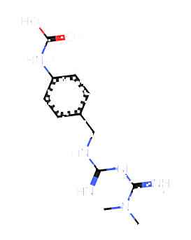 CN(C)C(=N)NC(=N)NCc1ccc(NC(=O)O)cc1